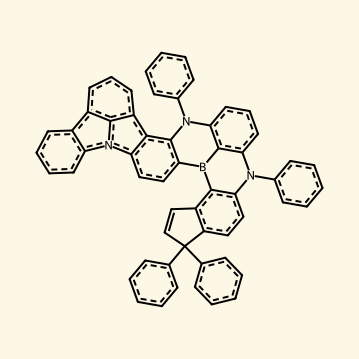 C1=CC(c2ccccc2)(c2ccccc2)c2ccc3c(c21)B1c2ccc4c(c2N(c2ccccc2)c2cccc(c21)N3c1ccccc1)c1cccc2c3ccccc3n4c21